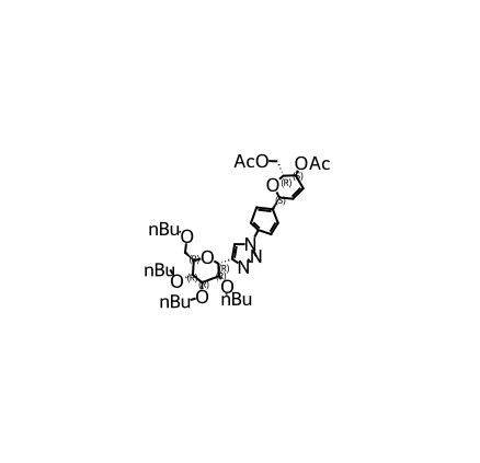 CCCCOC[C@H]1O[C@H](c2cn(-c3ccc([C@@H]4C=C[C@H](OC(C)=O)[C@@H](COC(C)=O)O4)cc3)nn2)[C@@H](OCCCC)[C@@H](OCCCC)[C@@H]1OCCCC